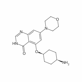 N[C@H]1CC[C@@H](Oc2cc(N3CCOCC3)cc3nc[nH]c(=O)c23)CC1